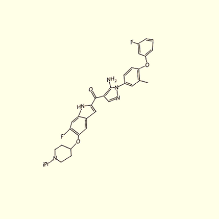 Cc1cc(-n2ncc(C(=O)c3cc4cc(OC5CCN(C(C)C)CC5)c(F)cc4[nH]3)c2N)ccc1Oc1cccc(F)c1